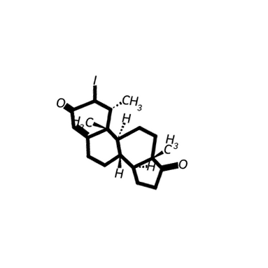 C[C@H]1C(I)C(=O)C=C2CC[C@@H]3[C@H](CC[C@]4(C)C(=O)CC[C@@H]34)[C@]21C